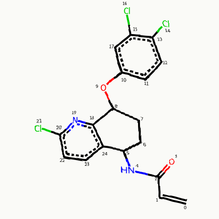 C=CC(=O)NC1CCC(Oc2ccc(Cl)c(Cl)c2)c2nc(Cl)ccc21